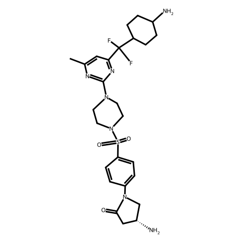 Cc1cc(C(F)(F)C2CCC(N)CC2)nc(N2CCN(S(=O)(=O)c3ccc(N4C[C@H](N)CC4=O)cc3)CC2)n1